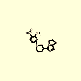 Nc1nc(N2CCCC(c3ncc4n3CCC4)C2)ccc1[N+](=O)[O-]